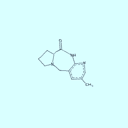 Cc1cnc2c(c1)CN1CCCC1C(=O)N2